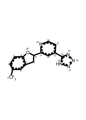 FC(F)(F)c1ccc2c(c1)CC(c1cc(-c3nnn[nH]3)ccn1)O2